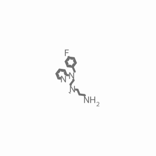 CN(CCCN)CCN(Cc1ccc(F)cc1)c1ccccn1